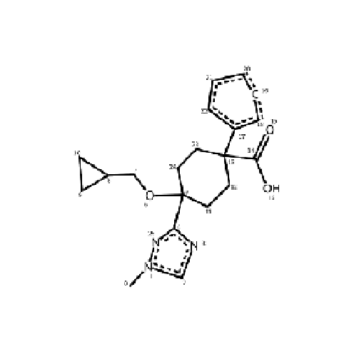 Cn1cnc(C2(OCC3CC3)CCC(C(=O)O)(c3ccccc3)CC2)n1